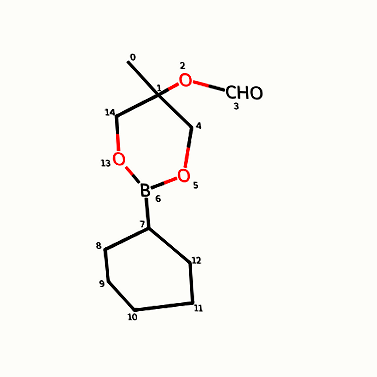 CC1(OC=O)COB(C2CCCCC2)OC1